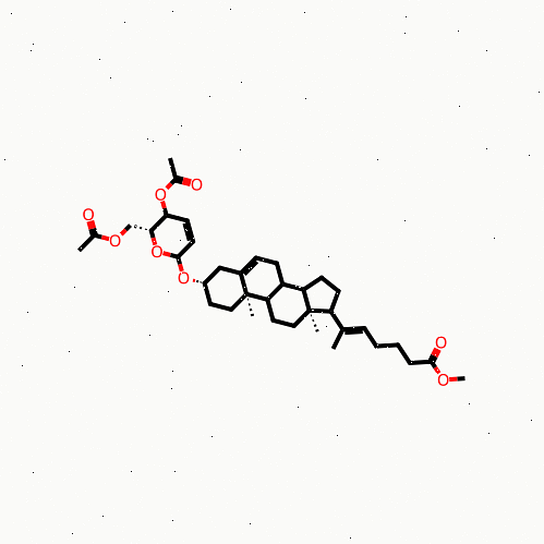 COC(=O)CCC/C=C(\C)C1CCC2C3CC=C4C[C@@H](OC5C=CC(OC(C)=O)[C@@H](COC(C)=O)O5)CC[C@]4(C)C3CC[C@]12C